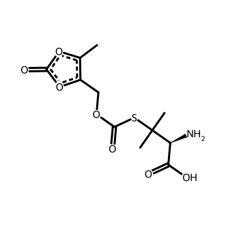 Cc1oc(=O)oc1COC(=O)SC(C)(C)[C@@H](N)C(=O)O